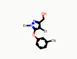 CCc1c(CO)nn(CC)c1Oc1cccc(C#N)c1